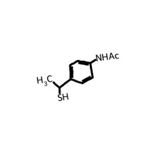 CC(=O)Nc1ccc(C(C)S)cc1